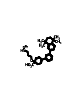 CCCNCCCOC1(C(=O)O)C=CC(c2cccc(-c3ccc4c(c3)C(C)(C)CCC4(C)C)c2)=CC1